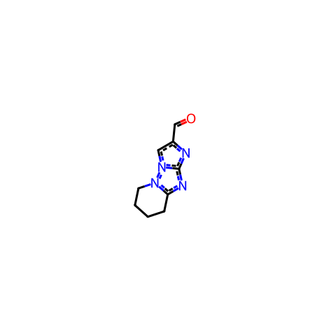 O=Cc1cn2c(n1)nc1n2CCCC1